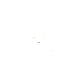 Cl.Cl.NCCCC/C(=C/C(N)C(=O)O)CP(=O)(O)O